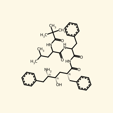 CC(C)CC(NC(=O)C(C)(C)C)C(=O)NC(Cc1ccccc1)C(=O)NC(=O)[C@H](Cc1ccccc1)C[C@H](O)[C@@H](N)Cc1ccccc1